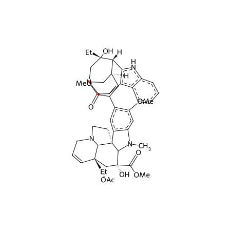 CC[C@]1(O)CN2CCc3c([nH]c4ccccc34)[C@@H]1[C@@H](/C=C(\C(=O)OC)c1cc3c(cc1OC)N(C)C1[C@]34CCN3CC=C[C@](CC)(C34)[C@@H](OC(C)=O)[C@]1(O)C(=O)OC)C2